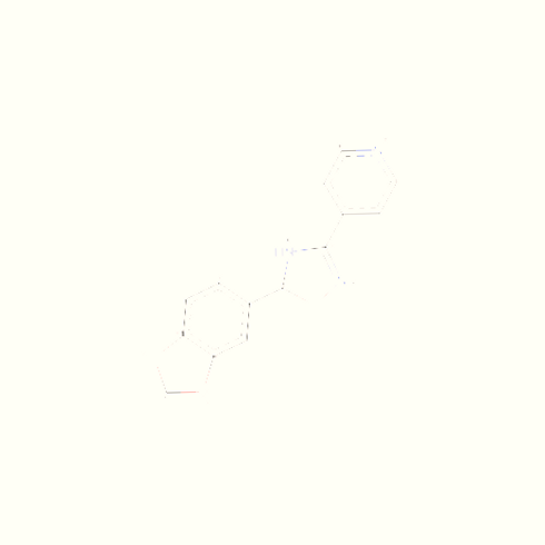 c1cc(C2=NOC(c3ccc4c(c3)OCO4)N2)ccn1